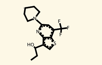 CCC(O)c1csc2c(C(F)(F)F)cc(N3CC[CH]CC3)nc12